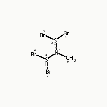 CN([SH](Br)Br)[SH](Br)Br